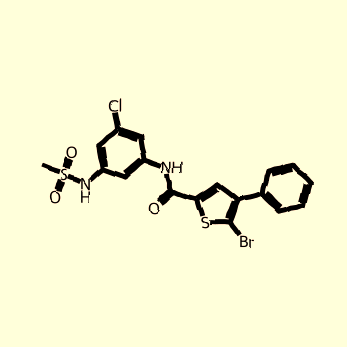 CS(=O)(=O)Nc1cc(Cl)cc(NC(=O)c2cc(-c3ccccc3)c(Br)s2)c1